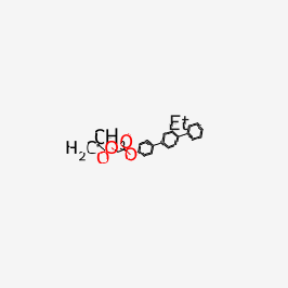 C=C(C)C(=O)OCC(=O)Oc1ccc(-c2ccc(-c3ccccc3)c(CC)c2)cc1